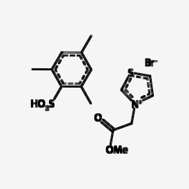 COC(=O)C[n+]1ccsc1.Cc1cc(C)c(S(=O)(=O)O)c(C)c1.[Br-]